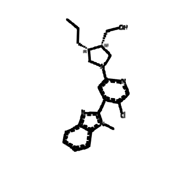 CCC[C@H]1CN(c2cc(-c3nc4ccccc4n3C)c(Cl)cn2)C[C@H]1CO